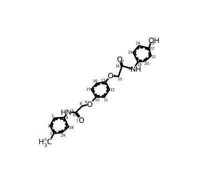 Cc1ccc(NC(=O)COc2ccc(OCC(=O)Nc3ccc(O)cc3)cc2)cc1